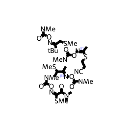 CNC(=O)O/N=C(/C)SCCC#N.CNC(=O)O/N=C(\C)C(C)SC.CNC(=O)ON=C(CSC)C(C)(C)C.CNC(=O)ON=C(SC)C(=O)N(C)C